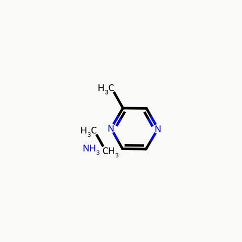 CC.Cc1cnccn1.N